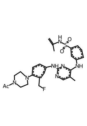 C=C(C)NS(=O)(=O)c1cccc(Nc2nc(Nc3ccc(N4CCN(C(C)=O)CC4)c(CF)c3)ncc2C)c1